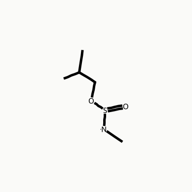 C[N]S(=O)OCC(C)C